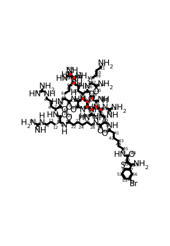 N=C(N)NCCCC(NC(=O)[C@@H](CCCNC(=N)N)NC(=O)CCCCCNC(=O)[C@@H](CCCNC(=N)N)NC(=O)CCCCCNC(=O)c1sc2ccc(Br)cc2c1N)C(=O)N[C@H](CCCNC(=N)N)C(=O)NC(CCCNC(=N)N)C(=O)N[C@H](CCCNC(=N)N)C(=O)NC(CCCNC(=N)N)C(=O)N[C@H](CCCCN)C(N)=O